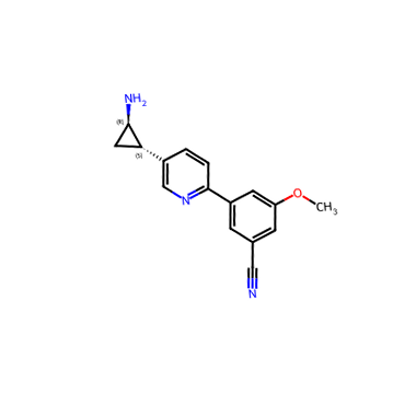 COc1cc(C#N)cc(-c2ccc([C@@H]3C[C@H]3N)cn2)c1